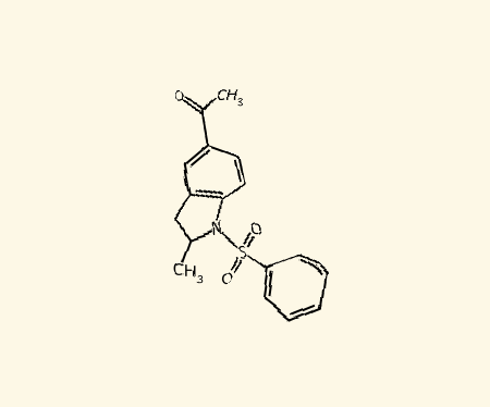 CC(=O)c1ccc2c(c1)CC(C)N2S(=O)(=O)c1ccccc1